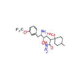 CC1CCC(O)(C(CC(O)C(N)Cc2cccc(OC(F)(F)F)c2)C(N)=O)CC1